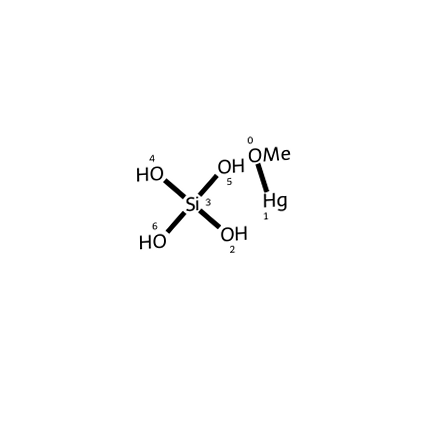 C[O][Hg].O[Si](O)(O)O